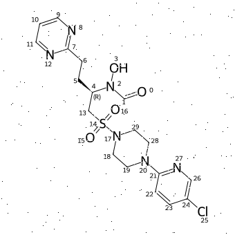 O=CN(O)[C@H](CCc1ncccn1)CS(=O)(=O)N1CCN(c2ccc(Cl)cn2)CC1